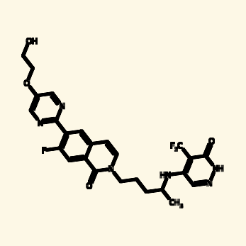 CC(CCCn1ccc2cc(-c3ncc(OCCO)cn3)c(F)cc2c1=O)Nc1cn[nH]c(=O)c1C(F)(F)F